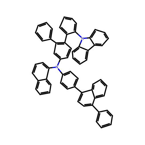 c1ccc(-c2cc(N(c3ccc(-c4ccc(-c5ccccc5)c5ccccc45)cc3)c3cccc4ccccc34)ccc2-c2ccccc2-n2c3ccccc3c3ccccc32)cc1